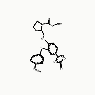 COc1ccc(Oc2cc(-c3noc(=O)[nH]3)ccc2NCC2CCCN2C(=O)OC(C)(C)C)cc1